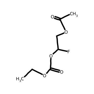 CCOC(=O)OC(F)COC(C)=O